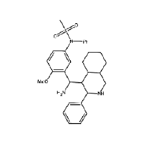 COc1ccc(N(C(C)C)S(C)(=O)=O)cc1C(N)C1C(c2ccccc2)NCC2CCCCC21